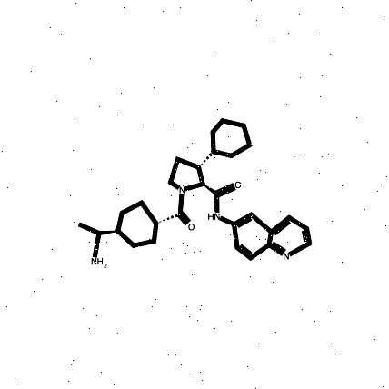 CC(N)[C@H]1CC[C@H](C(=O)N2CC[C@H](C3CCCCC3)[C@H]2C(=O)Nc2ccc3ncccc3c2)CC1